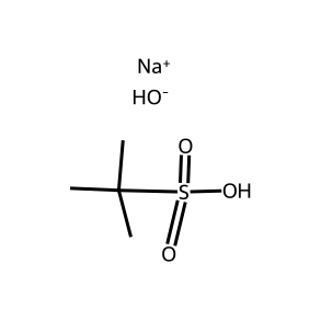 CC(C)(C)S(=O)(=O)O.[Na+].[OH-]